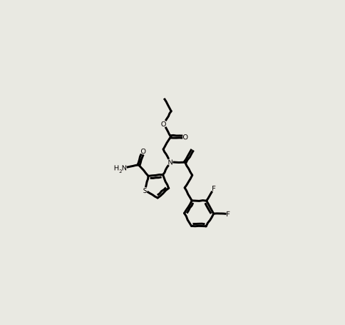 C=C(CCc1cccc(F)c1F)N(CC(=O)OCC)c1ccsc1C(N)=O